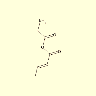 CC=CC(=O)OC(=O)CN